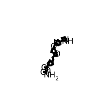 NC(=O)OC(=O)C1CCN(CCc2coc3cc(Oc4ccc(-c5ccn[nH]5)cn4)ccc23)CC1